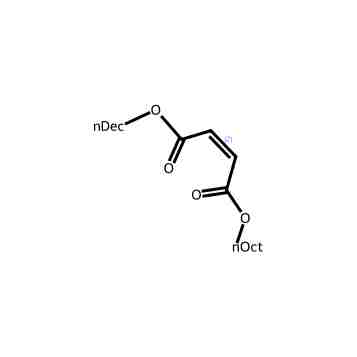 CCCCCCCCCCOC(=O)/C=C\C(=O)OCCCCCCCC